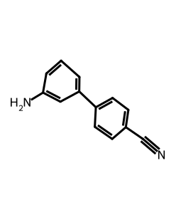 N#Cc1ccc(-c2cccc(N)c2)cc1